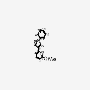 COc1cccc(-c2cnn(-c3cccnc3)c2)n1